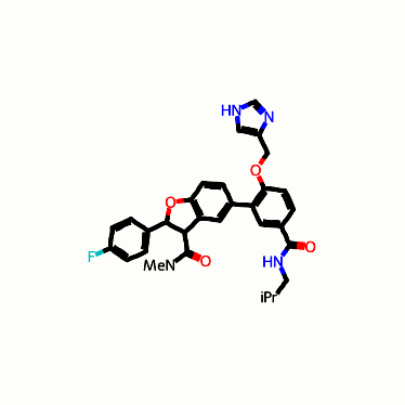 CNC(=O)C1c2cc(-c3cc(C(=O)NCC(C)C)ccc3OCc3c[nH]cn3)ccc2OC1c1ccc(F)cc1